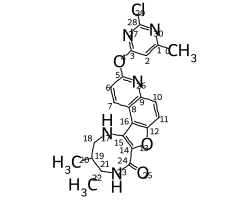 Cc1cc(Oc2ccc3c(ccc4oc5c(c43)NCC(C)[C@@H](C)NC5=O)n2)nc(Cl)n1